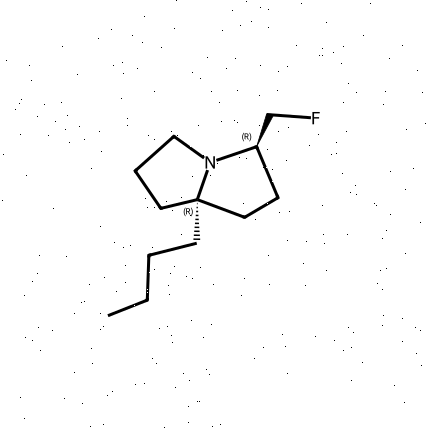 CCCC[C@]12CCCN1[C@@H](CF)CC2